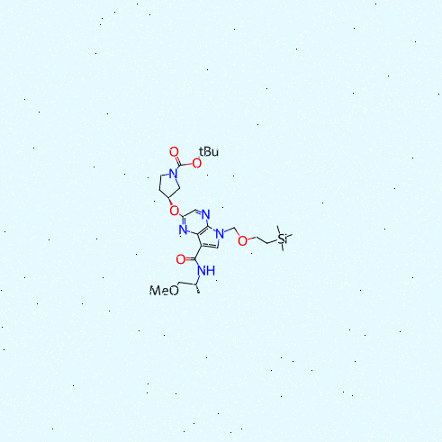 COC[C@H](C)NC(=O)c1cn(COCC[Si](C)(C)C)c2ncc(O[C@H]3CCN(C(=O)OC(C)(C)C)C3)nc12